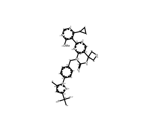 COc1ncnc(C2CC2)c1-c1ncc2c(n1)N(Cc1ccc(-n3nc(C(C)(F)F)cc3C)cc1)C(=O)OC21COC1